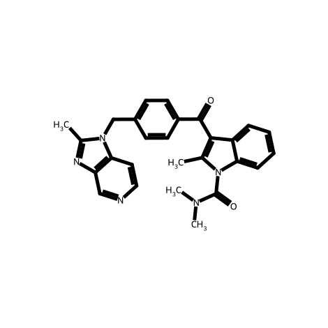 Cc1nc2cnccc2n1Cc1ccc(C(=O)c2c(C)n(C(=O)N(C)C)c3ccccc23)cc1